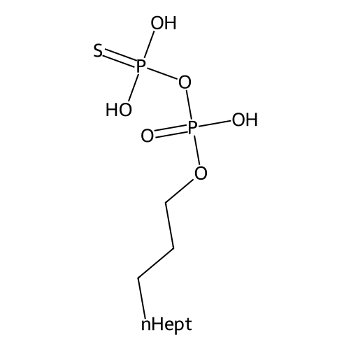 CCCCCCCCCCOP(=O)(O)OP(O)(O)=S